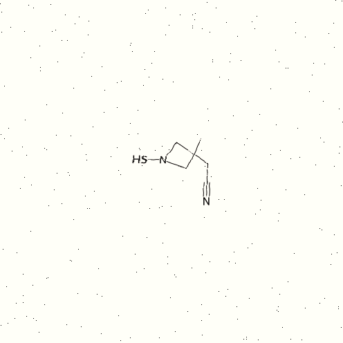 CC1(CC#N)CN(S)C1